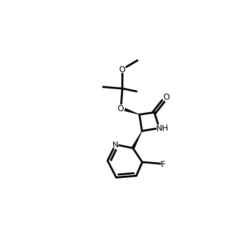 COC(C)(C)O[C@H]1C(=O)N[C@H]1C1N=CC=CC1F